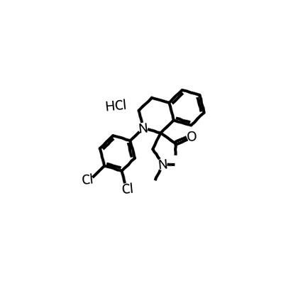 CC(=O)C1(CN(C)C)c2ccccc2CCN1c1ccc(Cl)c(Cl)c1.Cl